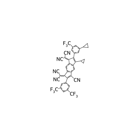 N#CC(C#N)=C1C(c2cc(C(F)(F)F)cc(C(F)(F)F)c2)=C(C#N)c2cc3c(cc21)C(=C(C#N)C#N)C(c1cc(C2CC2)cc(C(F)(F)F)c1)=C3C1CC1